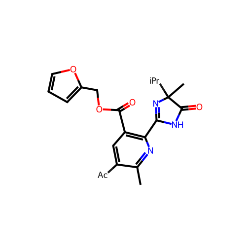 CC(=O)c1cc(C(=O)OCc2ccco2)c(C2=NC(C)(C(C)C)C(=O)N2)nc1C